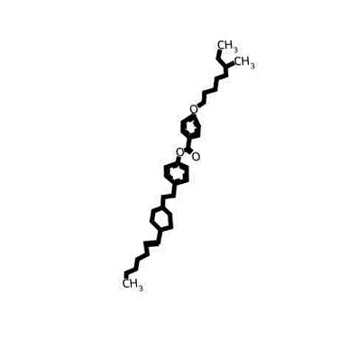 CCCCCC=CC1CCC(CCc2ccc(OC(=O)c3ccc(OCCCCCC(C)CC)cc3)cc2)CC1